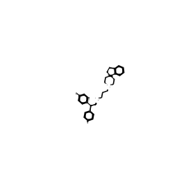 O=C(NCCCN1CCC2(CCc3ccccc32)CC1)C(c1ccc(Cl)cc1)c1ccc(Cl)cc1